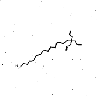 C=CCC(CC=C)(CC=C)CCCCCCCCCCCCCP